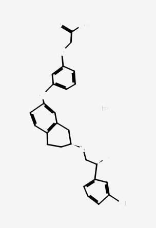 Cl.O=C(O)COc1cccc(Oc2ccc3c(c2)C[C@@H](NC[C@@H](O)c2cccc(Cl)c2)CC3)c1